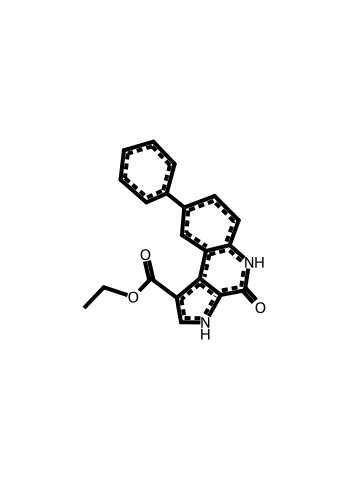 CCOC(=O)c1c[nH]c2c(=O)[nH]c3ccc(-c4ccccc4)cc3c12